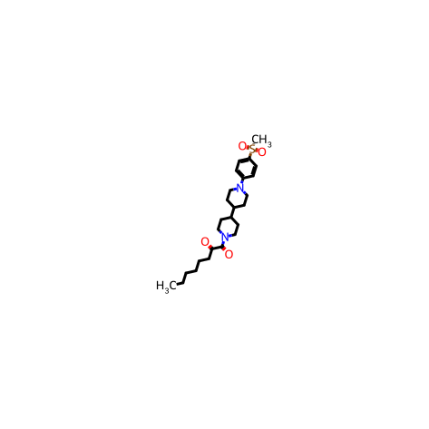 CCCCCCC(=O)C(=O)N1CCC(C2CCN(c3ccc(S(C)(=O)=O)cc3)CC2)CC1